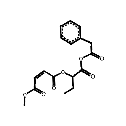 CCC(OC(=O)/C=C\C(=O)OC)C(=O)OC(=O)Cc1ccccc1